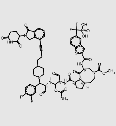 COC(=O)N1CC[C@H]2CC[C@@H](C(=O)N[C@H](C=O)C(N[C@H](C=O)C(c3ccc(F)c(F)c3)N3CCC(CCC#Cc4cccc5c4CN(C4CCC(=O)NC4=O)C5=O)CC3)OC(N)=O)N2C(=O)[C@@H](NC(=O)c2cc3cc(C(F)(F)P(=O)(O)O)ccc3s2)C1